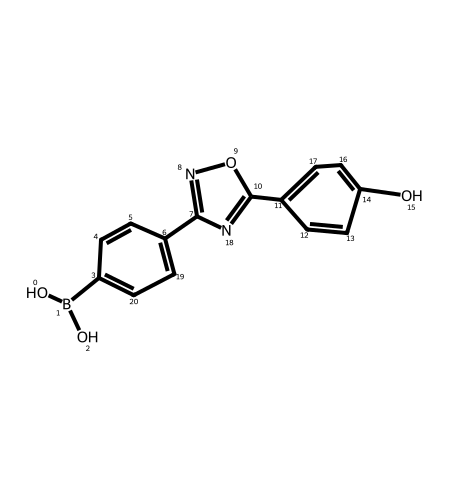 OB(O)c1ccc(-c2noc(-c3ccc(O)cc3)n2)cc1